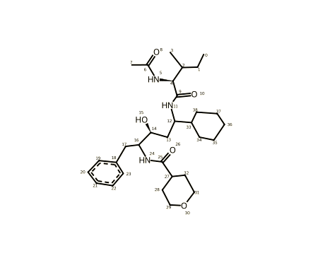 CCC(C)[C@H](NC(C)=O)C(=O)NC(C[C@H](O)C(Cc1ccccc1)NC(=O)C1CCOCC1)C1CCCCC1